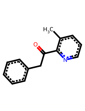 Cc1cccnc1C(=O)Cc1ccccc1